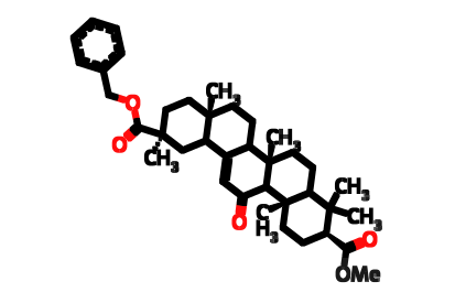 COC(=O)[C@H]1CC[C@@]2(C)C(CC[C@@]3(C)C4CC[C@@]5(C)CC[C@](C)(C(=O)OCc6ccccc6)CC5C4=CC(=O)C32)C1(C)C